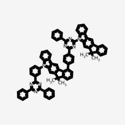 CC1(C)c2ccccc2-c2cc3c4ccccc4n(-c4nc(-c5ccccc5)nc(-c5ccc(-c6cccc7c6-c6cc8c9ccccc9n(-c9cccc(-c%10nc(-c%11ccccc%11)nc(-c%11ccccc%11)n%10)c9)c8cc6C7(C)C)cc5)n4)c3cc21